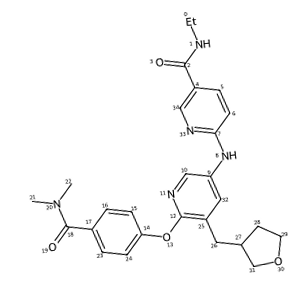 CCNC(=O)c1ccc(Nc2cnc(Oc3ccc(C(=O)N(C)C)cc3)c(CC3CCOC3)c2)nc1